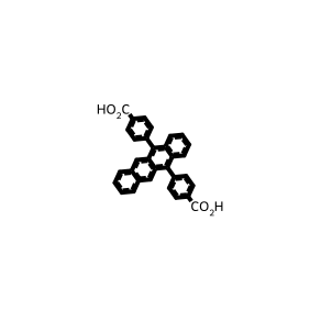 O=C(O)c1ccc(-c2c3ccccc3c(-c3ccc(C(=O)O)cc3)c3cc4ccccc4cc23)cc1